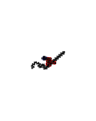 CC/C=C\C/C=C\C/C=C\C/C=C\C/C=C\C/C=C\CCC(=O)O[C@H](COC(=O)CCCCCCCCCCC)COP(=O)([O-])OCC[N+](C)(C)C